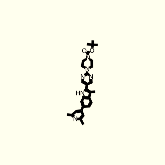 Cc1cc(-c2ccc3c(C)c(-c4cnc(N5CCN(C(=O)OC(C)(C)C)CC5)nc4)[nH]c3c2)cc(C)n1